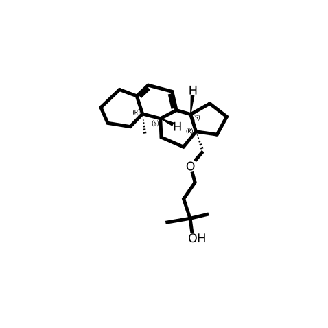 CC(C)(O)CCOC[C@@]12CCC[C@H]1C1=CC=C3CCCC[C@]3(C)[C@H]1CC2